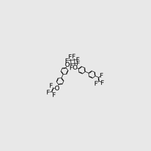 FC(F)=C(F)Oc1ccc(-c2ccc(OC3(F)C(F)(F)C(F)(F)C3(F)Oc3ccc(-c4ccc(C(F)=C(F)F)cc4)cc3)cc2)cc1